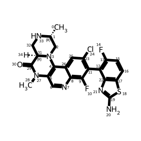 C[C@@H]1CN2c3c(cnc4c(F)c(-c5c(F)ccc6sc(N)nc56)c(Cl)cc34)N(C)C(=O)[C@H]2CN1